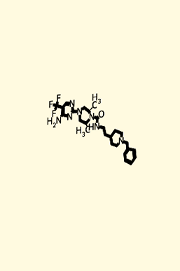 C[C@@H]1CN(c2ncc(C(F)(F)F)c(N)n2)C[C@H](C)N1C(=O)NCCC1CCN(Cc2ccccc2)CC1